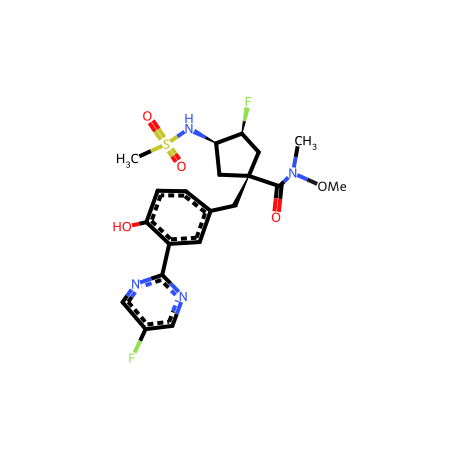 CON(C)C(=O)[C@@]1(Cc2ccc(O)c(-c3ncc(F)cn3)c2)C[C@H](F)[C@H](NS(C)(=O)=O)C1